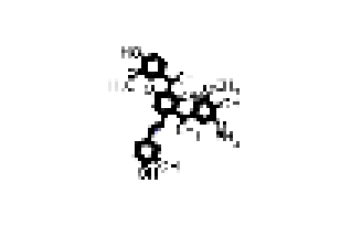 COc1cc(C(C)c2c(O)cc(/C=C/c3ccc(O)c(O)c3)c(C(C)c3cc(OC)c(O)c(OC)c3)c2O)ccc1O